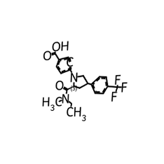 CCN(C)C(=O)[C@@H]1CC(c2ccc(C(F)(F)F)cc2)CN1c1ccc(C(=O)O)cc1